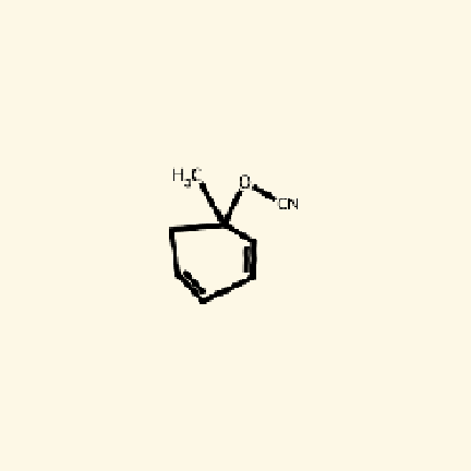 CC1(OC#N)C=CC=CC1